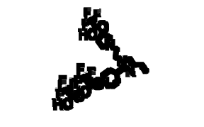 C=Cc1cn(CCN2CCCC2)c(C2CCNCC2)n1.O=C(O)C(F)(F)F.O=C(O)C(F)(F)F.O=C(O)C(F)(F)F